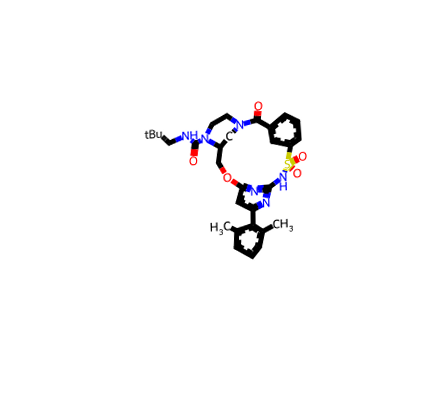 Cc1cccc(C)c1-c1cc2nc(n1)NS(=O)(=O)c1cccc(c1)C(=O)N1CCN(C(=O)NCC(C)(C)C)C(CO2)C1